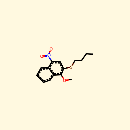 CCCCSc1cc([N+](=O)[O-])c2ccccc2c1OC